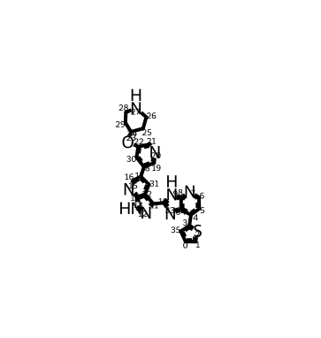 c1csc(-c2ccnc3[nH]c(-c4n[nH]c5ncc(-c6cncc(OC7CCNCC7)c6)cc45)nc23)c1